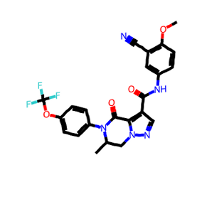 COc1ccc(NC(=O)c2cnn3c2C(=O)N(c2ccc(OC(F)(F)F)cc2)C(C)C3)cc1C#N